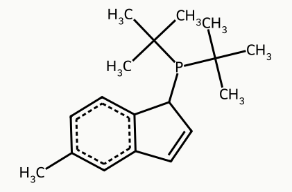 Cc1ccc2c(c1)C=CC2P(C(C)(C)C)C(C)(C)C